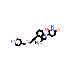 Cc1cn(C2CCC(=O)NC2=O)c2cccc(C#CCOCC3CCNCC3)c12